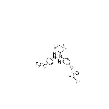 C[C@H]1C[C@H](n2c(Nc3ccc(OC(F)(F)F)cc3)nc3cc(OCC(=O)NC4CC4)ccc32)CC(C)(C)C1